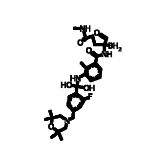 BC(C=O)(CCC(=O)NC)NC(=O)c1cccc(NC(O)(O)c2ccc(CN3CC(C)(C)OC(C)(C)C3)cc2F)c1C